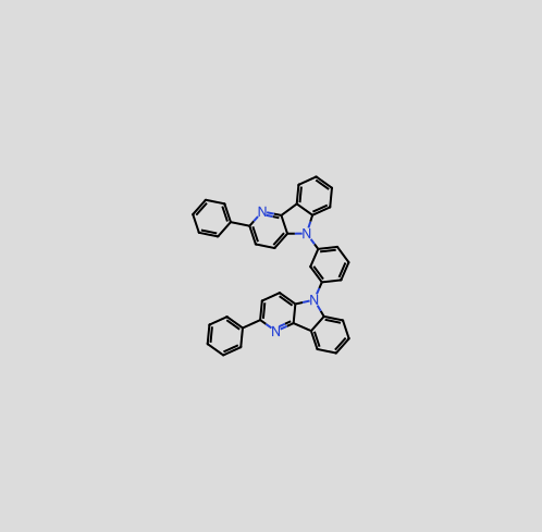 c1ccc(-c2ccc3c(n2)c2ccccc2n3-c2cccc(-n3c4ccccc4c4nc(-c5ccccc5)ccc43)c2)cc1